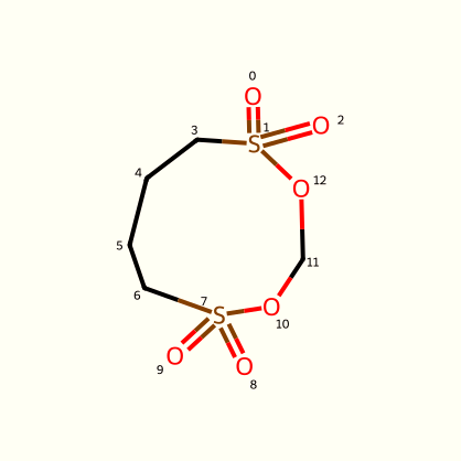 O=S1(=O)CCCCS(=O)(=O)OCO1